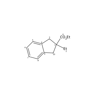 CCOC(=O)C1(CC)Cc2ccccc2C1